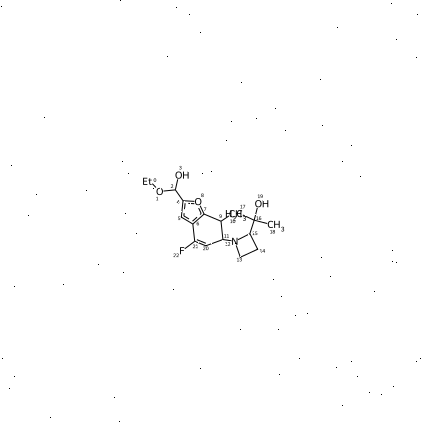 CCOC(O)c1cc2c(o1)C(C)C(N1CCC1C(C)(C)O)C=C2F